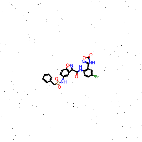 O=C(Nc1ccc(Br)cc1-c1noc(=O)[nH]1)c1noc2ccc(NS(=O)(=O)Cc3ccccc3)cc12